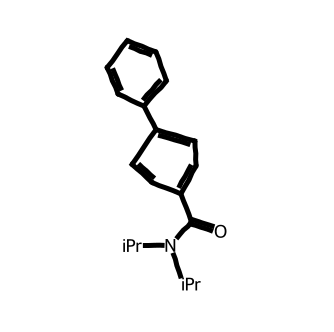 CC(C)N(C(=O)c1ccc(-c2ccccc2)cc1)C(C)C